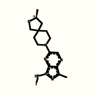 Cc1nn(PI)c2nc(N3CCC4(CC3)CO[C@@H](C)C4)cnc12